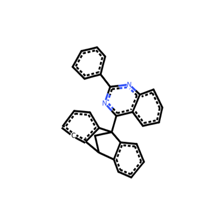 c1ccc(-c2nc(C34CC(c5ccccc53)c3ccccc34)c3ccccc3n2)cc1